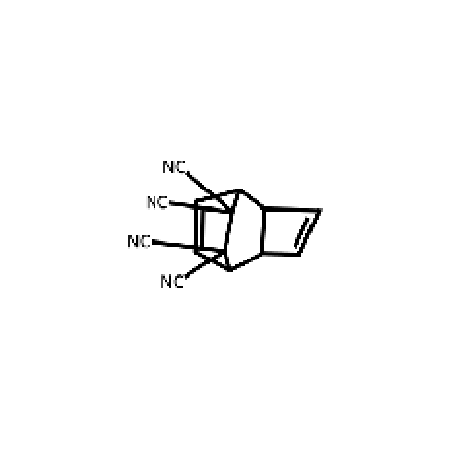 N#CC1(C#N)C2C=CC(C3C=CC32)C1(C#N)C#N